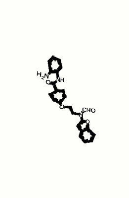 Nc1ccccc1NC(=O)c1ccc(OCCN(C=O)c2cc3ccccc3o2)cc1